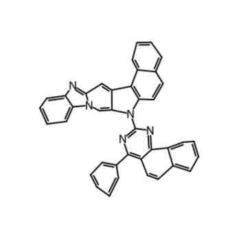 c1ccc(-c2nc(-n3c4cn5c(cc4c4c6ccccc6ccc43)nc3ccccc35)nc3c2ccc2ccccc23)cc1